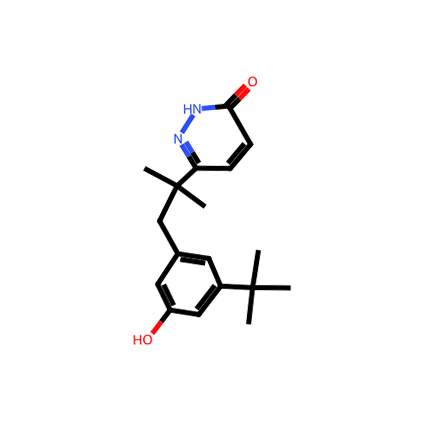 CC(C)(C)c1cc(O)cc(CC(C)(C)c2ccc(=O)[nH]n2)c1